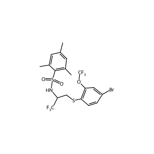 Cc1cc(C)c(S(=O)(=O)NC(CSc2ccc(Br)cc2OC(F)(F)F)C(F)(F)F)c(C)c1